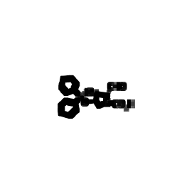 CC(C)(C)[Si](O[C@H]1C[C@H](C=O)N(C(=O)O)C1)(c1ccccc1)c1ccccc1